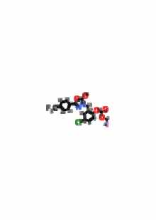 O=C(OCI)Oc1ccc(Cl)cc1Cn1nc(-c2ccc(C(F)(F)F)cc2)oc1=O